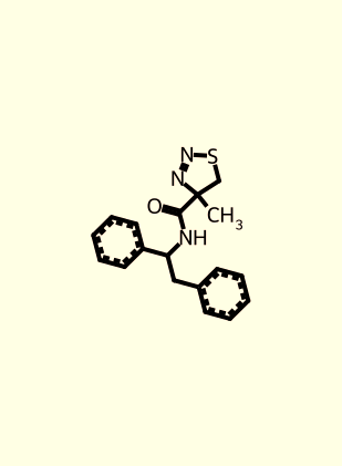 CC1(C(=O)NC(Cc2ccccc2)c2ccccc2)CSN=N1